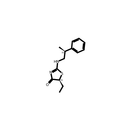 CC[C@@H]1SC(NC[C@@H](C)c2ccccc2)=NC1=O